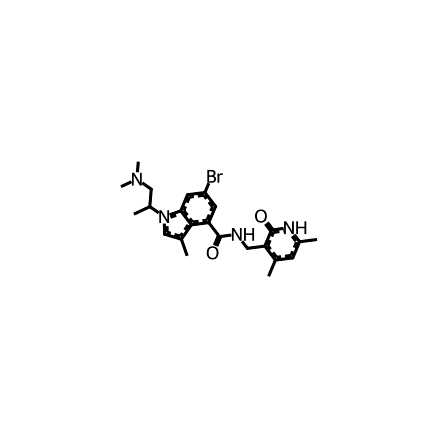 Cc1cc(C)c(CNC(=O)c2cc(Br)cc3c2c(C)cn3C(C)CN(C)C)c(=O)[nH]1